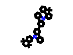 CC1(C)CCC(C)(C)c2cc(-n3c4ccccc4c4cc(-c5ccc6c(c5)c5ccccc5n6-c5cccc6c5-c5ccccc5C6(C)C)ccc43)ccc21